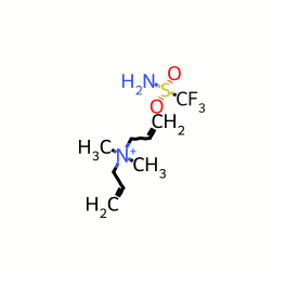 C=CC[N+](C)(C)CC=C.NS(=O)(=O)C(F)(F)F